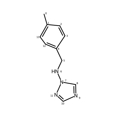 Cc1ccc(CNn2cncn2)cc1